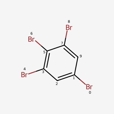 Brc1cc(Br)c(Br)c(Br)c1